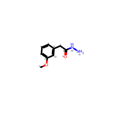 COc1cccc(CC(=O)NN)c1